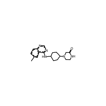 Cc1ccc2ncnc(NC3CCC(N4CCNC(=O)C4)CC3)c2c1